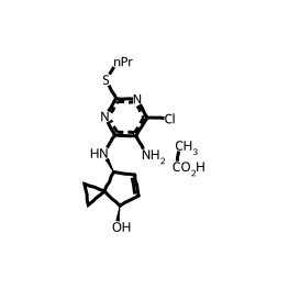 CC(=O)O.CCCSc1nc(Cl)c(N)c(N[C@H]2C=C[C@@H](O)C23CC3)n1